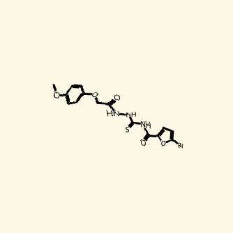 COc1ccc(OCC(=O)NNC(=S)NC(=O)c2ccc(Br)o2)cc1